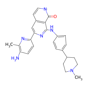 Cc1nc(-c2cc3c(c(Nc4ccc(C5CCN(C)CC5)cc4)n2)C(=O)[N]C=C3)ccc1N